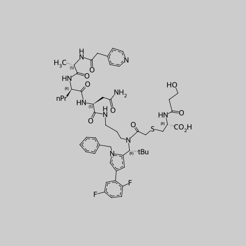 CCC[C@@H](NC(=O)[C@H](C)NC(=O)Cc1ccncc1)C(=O)N[C@@H](CC(N)=O)C(=O)NCCCN(C(=O)CSC[C@H](NC(=O)CCO)C(=O)O)[C@@H](c1cc(-c2cc(F)ccc2F)cn1Cc1ccccc1)C(C)(C)C